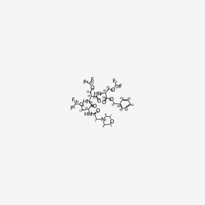 O=C(CN1CCOCC1)N[C@@H](COC(F)F)C(=O)N[C@@H](COC(F)F)C(=O)N[C@@H](COC(F)F)C(=O)OCc1ccccc1